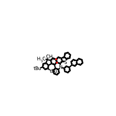 CC(C)(C)c1cc(C(C)(C)C)c2c(c1)C(C)(C)c1cccc(-c3ccccc3N(c3cccc(-c4ccc5ccccc5c4)c3)c3cccc4c3sc3ccccc34)c1-2